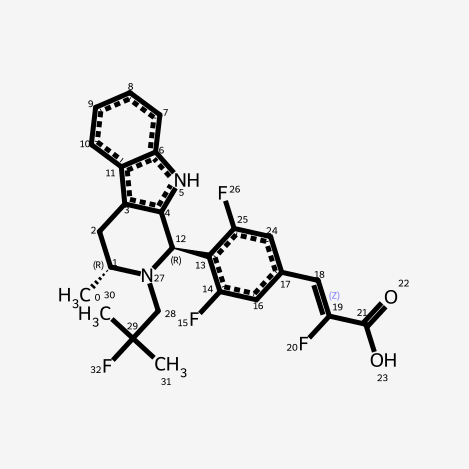 C[C@@H]1Cc2c([nH]c3ccccc23)[C@@H](c2c(F)cc(/C=C(\F)C(=O)O)cc2F)N1CC(C)(C)F